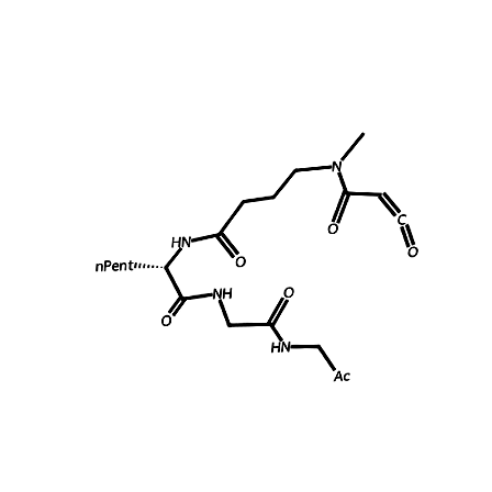 CCCCC[C@H](NC(=O)CCCN(C)C(=O)C=C=O)C(=O)NCC(=O)NCC(C)=O